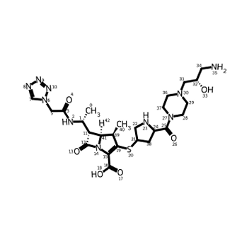 C[C@@H](NC(=O)Cn1cnnn1)[C@H]1C(=O)N2C(C(=O)O)=C(SC3CNC(C(=O)N4CCN(C[C@@H](O)CN)CC4)C3)[C@H](C)[C@H]12